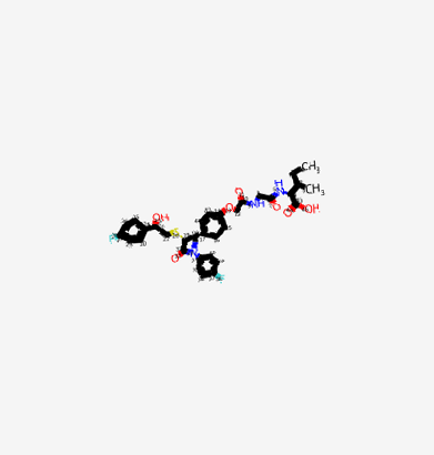 CCC(C)[C@H](NC(=O)CNC(=O)COc1ccc([C@@H]2[C@@H](SCC(O)c3ccc(F)cc3)C(=O)N2c2ccc(F)cc2)cc1)C(=O)O